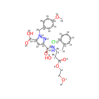 COCCOC(=O)[C@H](O)[C@@H](Cc1ccccc1Cl)NC(=O)c1cc(C(=O)O)n(Cc2ccc(OC)cc2)n1